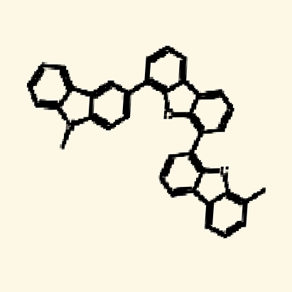 Cc1cccc2c1oc1c(-c3cccc4c3oc3c(-c5ccc6c(c5)c5ccccc5n6C)cccc34)cccc12